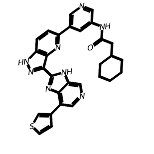 O=C(CC1CCCCC1)Nc1cncc(-c2ccc3[nH]nc(-c4nc5c(-c6ccsc6)cncc5[nH]4)c3n2)c1